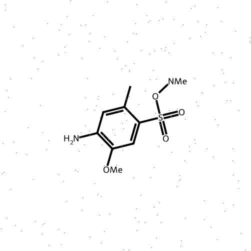 CNOS(=O)(=O)c1cc(OC)c(N)cc1C